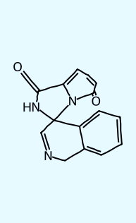 O=C1NC2(C=NCc3ccccc32)n2c1cccc2=O